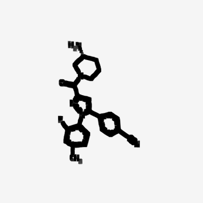 Cc1ccc(-n2nc(C(=O)N3CCC[C@@H](N)C3)cc2-c2ccc(C#N)cc2)c(F)c1